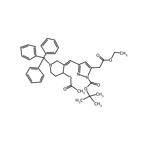 CCOC(=O)Cc1cc(/C=C2/CN(C(c3ccccc3)(c3ccccc3)c3ccccc3)CCC2SC(C)=O)nn1C(=O)OC(C)(C)C